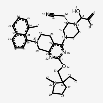 C=C(F)C(O)N1CCN(c2nc(OCC3(CC)CCCN3C)nc3c2CCN(c2cccc4cccc(C)c24)C3)C[C@@H]1CC#N